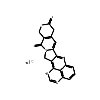 Cl.Cl.O=C1Cc2cc3n(c(=O)c2CO1)Cc1c-3nc2cccc3c2c1NC=N3